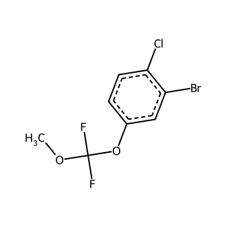 COC(F)(F)Oc1ccc(Cl)c(Br)c1